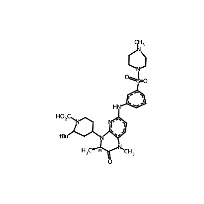 C[C@@H]1C(=O)N(C)c2ccc(Nc3cccc(S(=O)(=O)N4CCN(C)CC4)c3)nc2N1C1CCN(C(=O)O)C(C(C)(C)C)C1